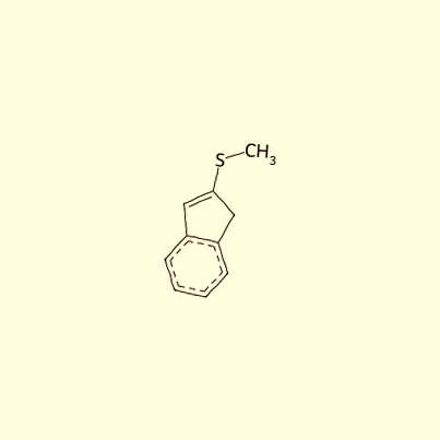 CSC1=Cc2ccccc2C1